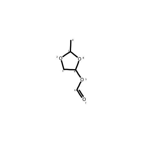 CC1OCC(OC=O)O1